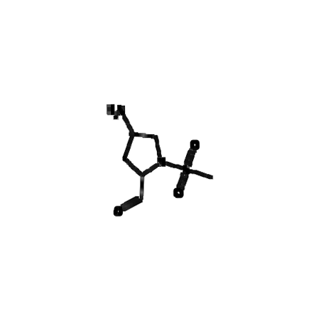 CS(=O)(=O)N1C[C](N)CC1C=O